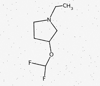 CCN1CCC(OC(F)F)C1